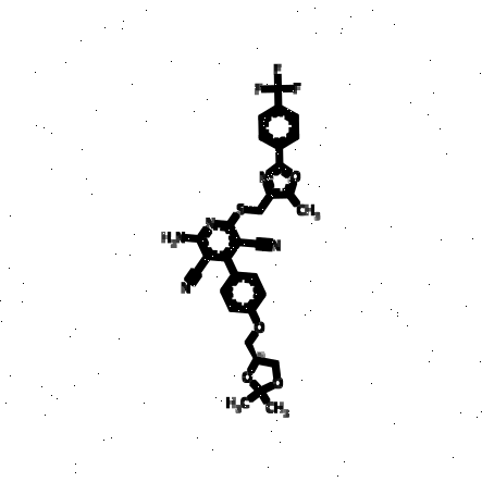 Cc1oc(-c2ccc(C(F)(F)F)cc2)nc1CSc1nc(N)c(C#N)c(-c2ccc(OC[C@H]3COC(C)(C)O3)cc2)c1C#N